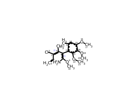 C=C/C(Cl)=C(C)\C(=C(/N)OC)c1c(C)cc(OC)c(OC)c1OC